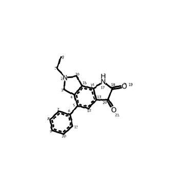 CCN1Cc2c(-c3ccccc3)cc3c(c2C1)NC(=O)C3=O